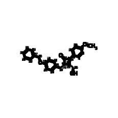 COc1ccc(N2C(=O)[C@@H](Cc3ccc(OCc4ccccc4)cc3)[C@H]2CO)cc1